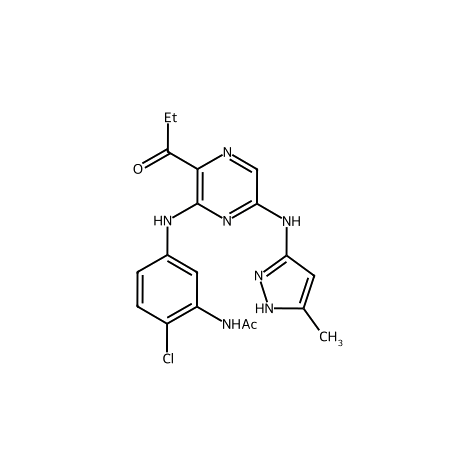 CCC(=O)c1ncc(Nc2cc(C)[nH]n2)nc1Nc1ccc(Cl)c(NC(C)=O)c1